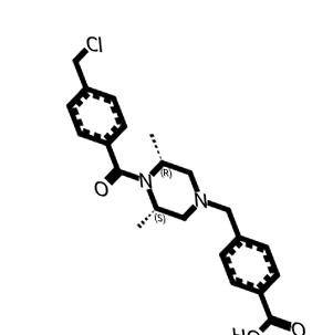 C[C@@H]1CN(Cc2ccc(C(=O)O)cc2)C[C@H](C)N1C(=O)c1ccc(CCl)cc1